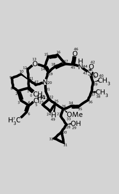 C=C1/C(=C\C(Cl)=C/C)CCC[C@]12COc1ccc3cc1N(C[C@@H]1CC[C@H]1[C@@](C[C@H](O)C1CC1)(OC)/C=C/C[C@H](C)[C@@H](C)S(=O)(=O)NC3=O)C2